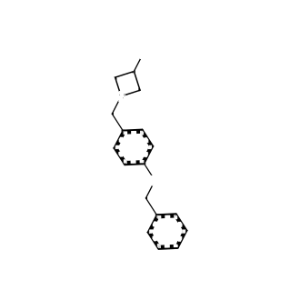 O=C(O)C1CN(Cc2ccc(OCc3ccccc3)cc2)C1